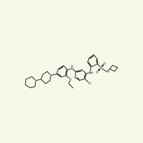 CCOc1cc(N2CCC(N3CCCCC3)CC2)ccc1Nc1ncc(Cl)c(Nc2ccccc2S(=O)(=O)NC2CCC2)n1